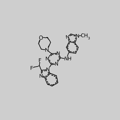 Cn1cnc2cc(Nc3nc(N4CCOCC4)nc(-n4c(C(F)F)nc5ccccc54)n3)ccc21